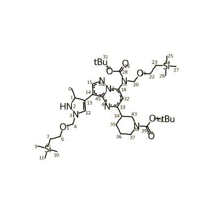 CC1NN(COCC[Si](C)(C)C)C=C1c1cnn2c(N(COCC[Si](C)(C)C)C(=O)OC(C)(C)C)cc(C3CCCN(C(=O)OC(C)(C)C)C3)nc12